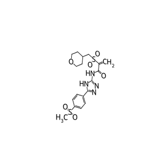 C=C(C(=O)Nc1nnc(-c2ccc(S(C)(=O)=O)cc2)[nH]1)S(=O)(=O)CC1CCOCC1